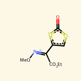 CCOC(=O)/C(=N\OC)c1csc(=O)s1